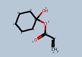 C=CC(=O)OC1(O)CCCCC1